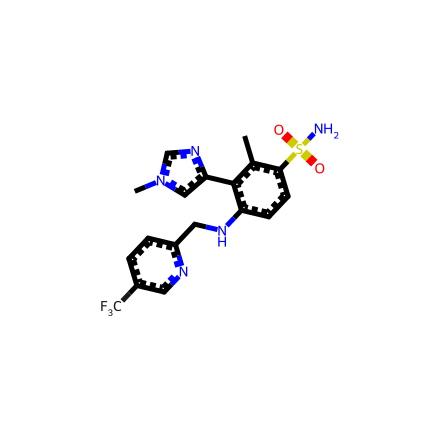 Cc1c(S(N)(=O)=O)ccc(NCc2ccc(C(F)(F)F)cn2)c1-c1cn(C)cn1